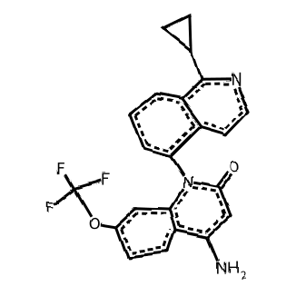 Nc1cc(=O)n(-c2cccc3c(C4CC4)nccc23)c2cc(OC(F)(F)F)ccc12